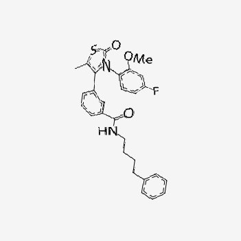 COc1cc(F)ccc1-n1c(-c2cccc(C(=O)NCCCCc3ccccc3)c2)c(C)sc1=O